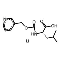 CC(C)C[C@H](NC(=O)OCc1cccnc1)C(=O)O.[Li]